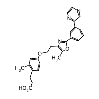 Cc1cc(OCCc2nc(-c3cccc(-c4cnccn4)c3)oc2C)ccc1CCC(=O)O